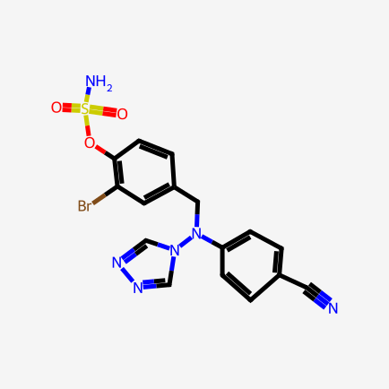 N#Cc1ccc(N(Cc2ccc(OS(N)(=O)=O)c(Br)c2)n2cnnc2)cc1